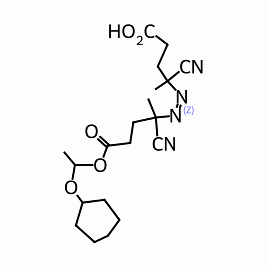 CC(OC(=O)CCC(C)(C#N)/N=N\C(C)(C#N)CCC(=O)O)OC1CCCCC1